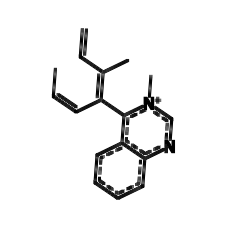 C=C/C(C)=C(\C=C/C)c1c2ccccc2nc[n+]1C